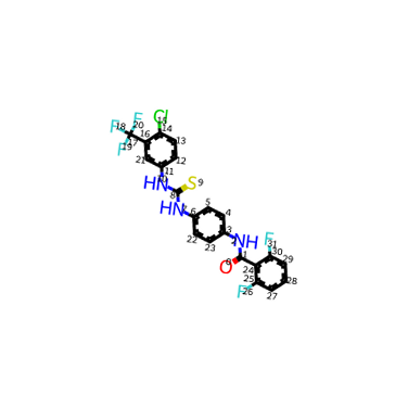 O=C(Nc1ccc(NC(=S)Nc2ccc(Cl)c(C(F)(F)F)c2)cc1)c1c(F)cccc1F